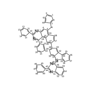 c1ccc(Cc2cc3nc(-c4ccccc4)nc(-c4ccccc4)c3c3cc(-c4ccc5c(c4)c4ccccc4n5-c4nc(-c5ccccc5)nc5ccccc45)ccc23)cc1